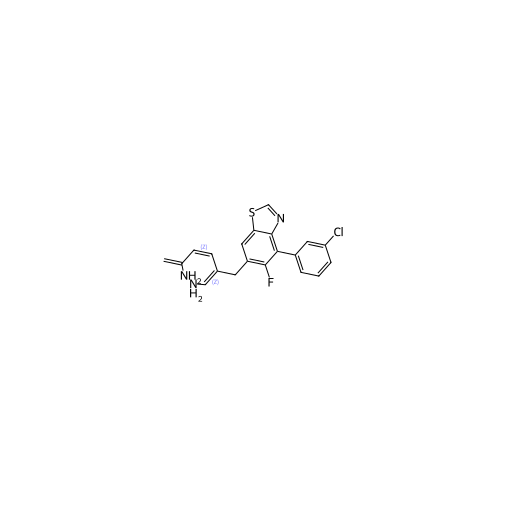 C=C(N)/C=C\C(=C/N)Cc1cc2scnc2c(-c2cccc(Cl)c2)c1F